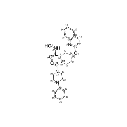 O=C(NO)[C@H]1C[C@H](Oc2ccc3ccccc3n2)CC[C@@H]1C(=O)N1CCN(c2ccccc2)CC1